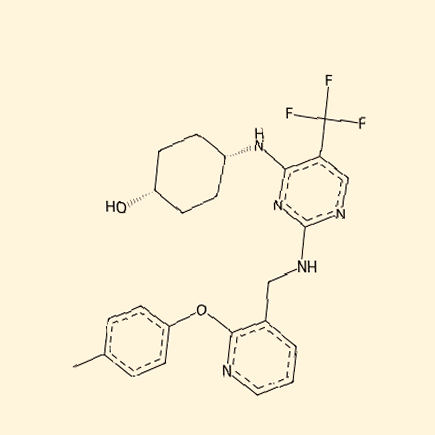 Cc1ccc(Oc2ncccc2CNc2ncc(C(F)(F)F)c(N[C@H]3CC[C@@H](O)CC3)n2)cc1